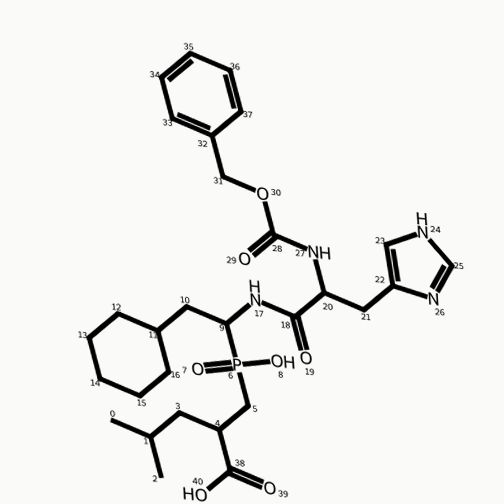 CC(C)CC(CP(=O)(O)C(CC1CCCCC1)NC(=O)C(Cc1c[nH]cn1)NC(=O)OCc1ccccc1)C(=O)O